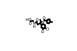 COc1cc2c(CC(=O)NCC(=O)O)c(C)n(C(=O)c3ccc(C)cc3)c2cc1Cl